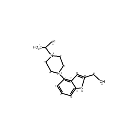 CC(C)C(C(=O)O)N1CCN(c2cccc3sc(CO)cc23)CC1